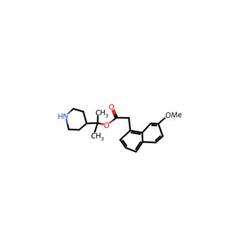 COc1ccc2cccc(CC(=O)OC(C)(C)C3CCNCC3)c2c1